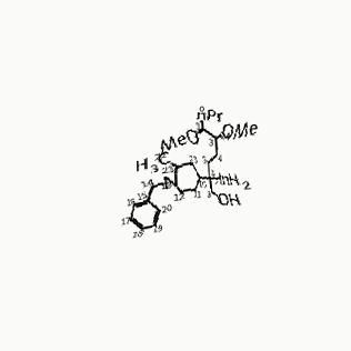 CCCC(OC)C(CC[C]([InH2])(CO)C1CCN(Cc2ccccc2)C(C)C1)OC